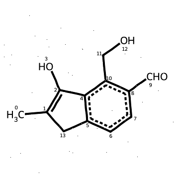 CC1=C(O)c2c(ccc(C=O)c2CO)C1